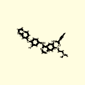 CC#CC(=O)Nc1cc2c(Nc3ccc(Oc4ccn5ccnc5c4)c(F)c3)ncnc2cc1OCCN(C)C